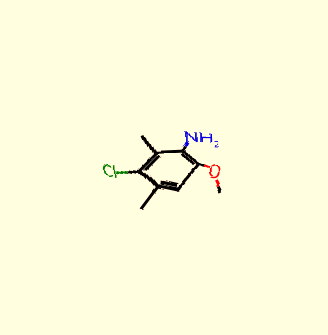 COc1cc(C)c(Cl)c(C)c1N